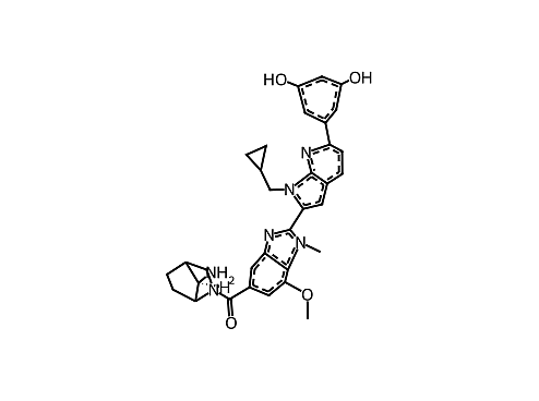 COc1cc(C(=O)N2CC3CCC2[C@@H]3N)cc2nc(-c3cc4ccc(-c5cc(O)cc(O)c5)nc4n3CC3CC3)n(C)c12